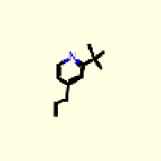 CCCc1ccnc(C(C)(C)C)c1